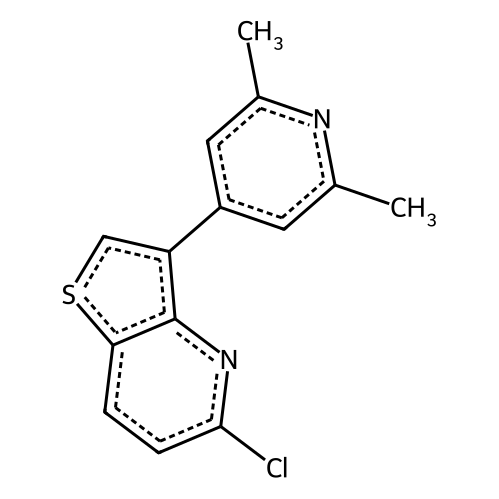 Cc1cc(-c2csc3ccc(Cl)nc23)cc(C)n1